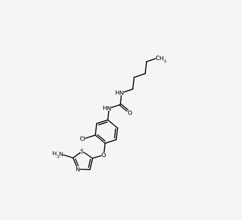 CCCCCNC(=O)Nc1ccc(Oc2cnc(N)s2)c(Cl)c1